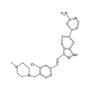 CN1CCN(Cc2ccc(/C=C/c3n[nH]c4cc(-c5ccnc(N)c5)ccc34)cc2Cl)CC1